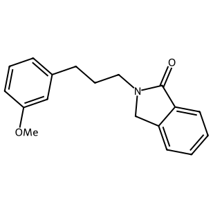 COc1cccc(CCCN2Cc3ccccc3C2=O)c1